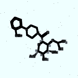 COc1ccccc1N1CCN(C(=O)[C@H]2O[C@@H](OC(C)=O)[C@H](OC(C)=O)[C@@H](OC(C)=O)[C@@H]2OC(C)O)CC1